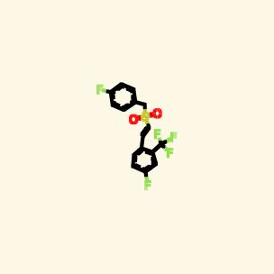 O=S(=O)(C=Cc1ccc(F)cc1C(F)(F)F)Cc1ccc(F)cc1